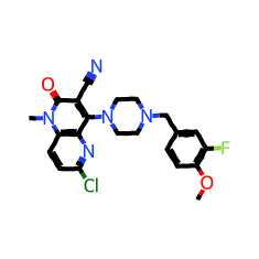 COc1ccc(CN2CCN(c3c(C#N)c(=O)n(C)c4ccc(Cl)nc34)CC2)cc1F